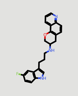 Fc1ccc2[nH]cc(CCCNC3COc4c(ccc5ncccc45)C3)c2c1